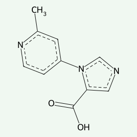 Cc1cc(-n2cncc2C(=O)O)ccn1